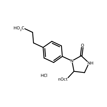 CCCCCCCCC1CNC(=O)N1c1ccc(CCC(=O)O)cc1.Cl